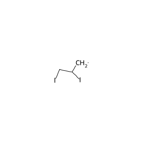 [CH2]C(I)CI